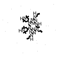 C=CCNc1nc(NCC=C)nc(N(CCN(c2nc(NCC=C)nc(NCC=C)n2)C2CC(C)(C)NC(C)(C)C2)C2CC(C)(C)NC(C)(C)C2)n1